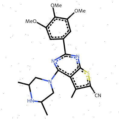 COc1cc(-c2nc(N3CC(C)NC(C)C3)c3c(C)c(C#N)sc3n2)cc(OC)c1OC